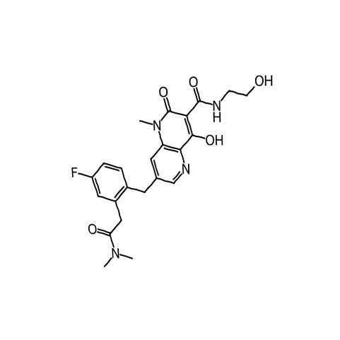 CN(C)C(=O)Cc1cc(F)ccc1Cc1cnc2c(O)c(C(=O)NCCO)c(=O)n(C)c2c1